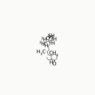 [2H]C([2H])([2H])C(CCC[C@@H](C)[C@H]1CC[C@H]2C(=O)CCC[C@]12C)(OS)C([2H])([2H])[2H]